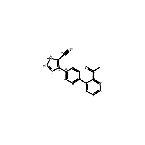 CC(=O)c1ccccc1-c1ccc(-c2nn[nH]c2C#N)cc1